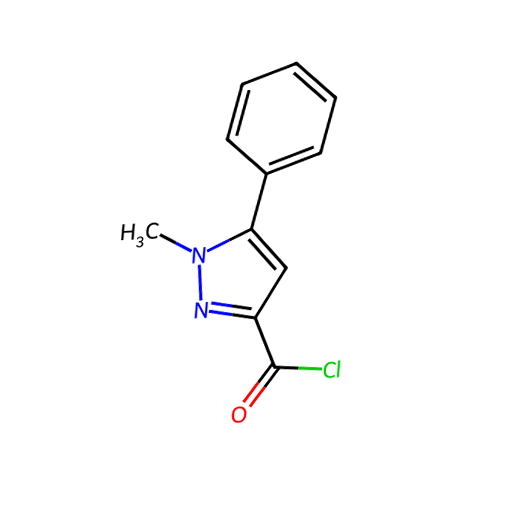 Cn1nc(C(=O)Cl)cc1-c1ccccc1